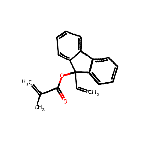 C=CC1(OC(=O)C(=C)C)c2ccccc2-c2ccccc21